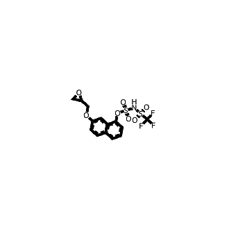 O=S(=O)(NS(=O)(=O)C(F)(F)F)Oc1cccc2ccc(OCC3CO3)cc12